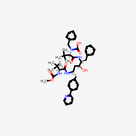 COC(=O)N[C@H](C(=O)N[C@@H](Cc1ccc(-c2ccccn2)cc1)C[C@H](O)[C@H](Cc1ccccc1)NC(=O)[C@@H](N(Cc1ccccc1)C(=O)O)C(C)(C)C)C(C)(C)C